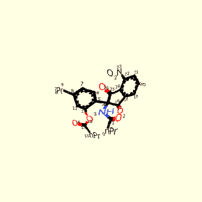 CCCC(=O)NC1(c2ccc(C(C)C)cc2OC(=O)CCC)C(=O)c2cccc([N+](=O)[O-])c2C1=O